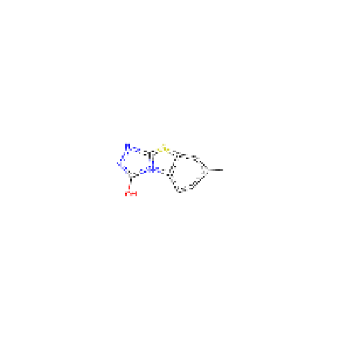 Cc1ccc2c(c1)sc1nnc(O)n12